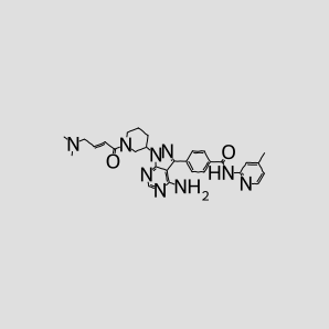 Cc1ccnc(NC(=O)c2ccc(-c3nn(C4CCCN(C(=O)C=CCN(C)C)C4)c4ncnc(N)c34)cc2)c1